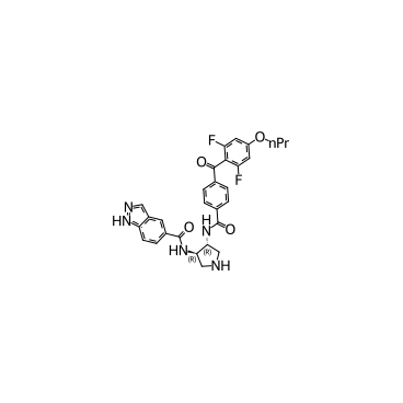 CCCOc1cc(F)c(C(=O)c2ccc(C(=O)N[C@@H]3CNC[C@H]3NC(=O)c3ccc4[nH]ncc4c3)cc2)c(F)c1